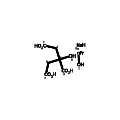 CCCO.O=C(O)CC(O)(CC(=O)O)C(=O)O.[NaH]